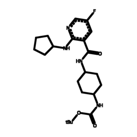 CC(C)(C)OC(=O)NC1CCC(NC(=O)c2cc(F)cnc2NC2CCCC2)CC1